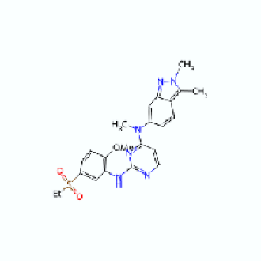 CCS(=O)(=O)c1ccc(OC)c(Nc2nccc(N(C)c3ccc4c(C)n(C)nc4c3)n2)c1